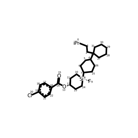 CC(C)CCC1(C2CCC([Si@]3(F)CC[C@@H](OC(=O)c4ccc(Cl)cc4)CC3)CC2)CCCCC1